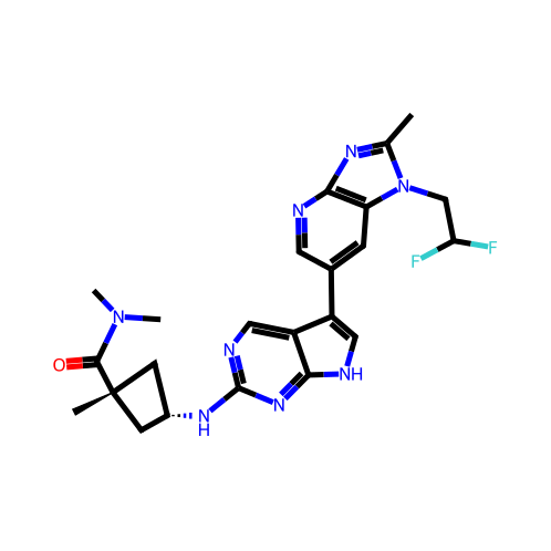 Cc1nc2ncc(-c3c[nH]c4nc(N[C@H]5C[C@@](C)(C(=O)N(C)C)C5)ncc34)cc2n1CC(F)F